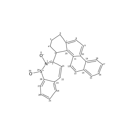 [O-][N+]1=C(C2CCCc3ccc4c(ccc5ccccc54)c32)C=Cc2ccccc2[S+]1[O-]